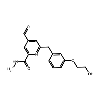 CNC(=O)c1cc(C=O)cc(Cc2cccc(OCCO)c2)n1